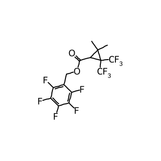 CC1(C)C(C(=O)OCc2c(F)c(F)c(F)c(F)c2F)C1(C(F)(F)F)C(F)(F)F